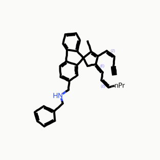 C#C/C=C\C1=C(C)C2(C/C1=C\C=C/CCC)c1ccccc1-c1ccc(CNCc3ccccc3)cc12